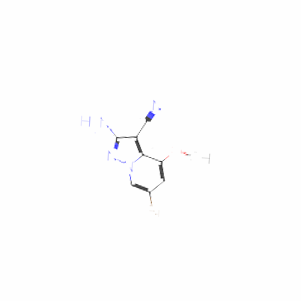 COc1cc(Br)cn2nc(N)c(C#N)c12